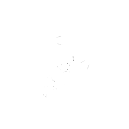 CN(C)S(=O)(=O)N1CCC(c2nc(OCc3ccc(Cl)s3)n(C(=O)c3cccs3)n2)C1=O